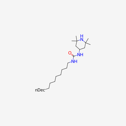 CCCCCCCCCCCCCCCCCCNC(=O)NC1CC(C)(C)NC(C)(C)C1